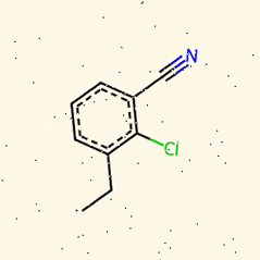 [CH2]Cc1cccc(C#N)c1Cl